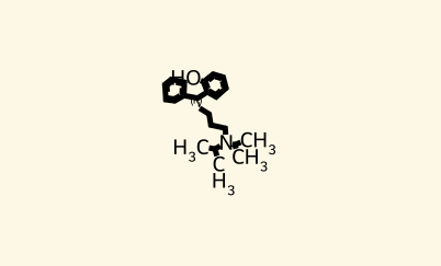 CC(C)N(CCCC[C@H](c1ccccc1)c1ccccc1O)C(C)C